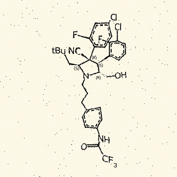 CC(C)(C)C[C@@H]1N(CCCc2ccc(NC(=O)C(F)(F)F)cc2)[C@@H](CO)[C@H](c2cccc(Cl)c2F)[C@@]1(C#N)c1ccc(Cl)cc1F